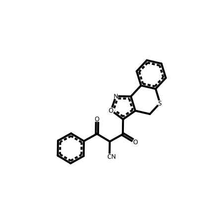 N#CC(C(=O)c1ccccc1)C(=O)c1onc2c1CSc1ccccc1-2